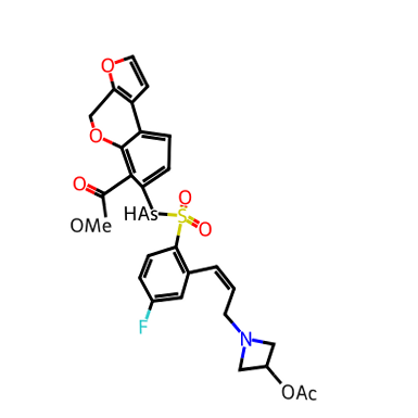 COC(=O)c1c([AsH]S(=O)(=O)c2ccc(F)cc2/C=C\CN2CC(OC(C)=O)C2)ccc2c1OCc1occc1-2